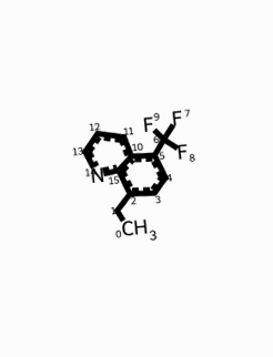 CCc1ccc(C(F)(F)F)c2cccnc12